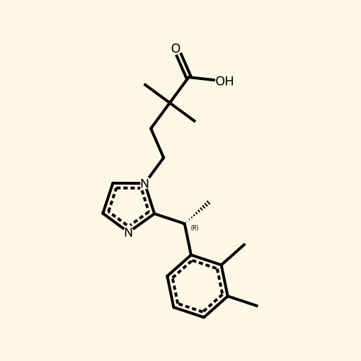 Cc1cccc([C@@H](C)c2nccn2CCC(C)(C)C(=O)O)c1C